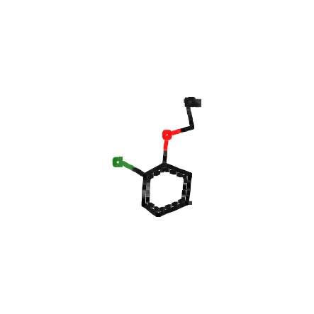 CC(C)(C)COc1c[c]ccc1Cl